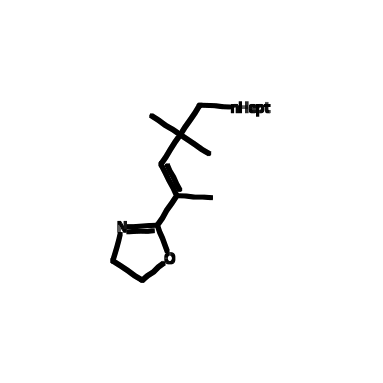 CCCCCCCCC(C)(C)C=C(C)C1=NCCO1